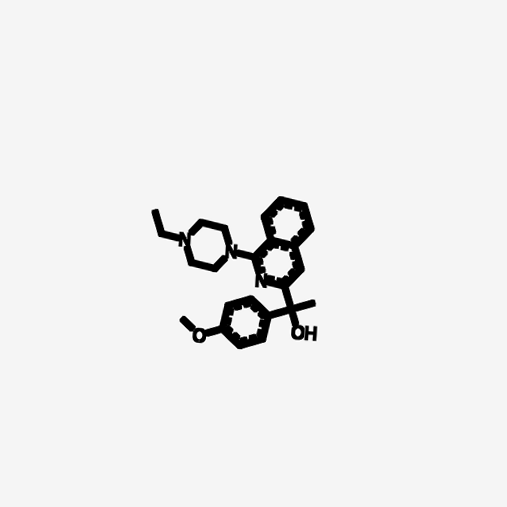 CCN1CCN(c2nc(C(C)(O)c3ccc(OC)cc3)cc3ccccc23)CC1